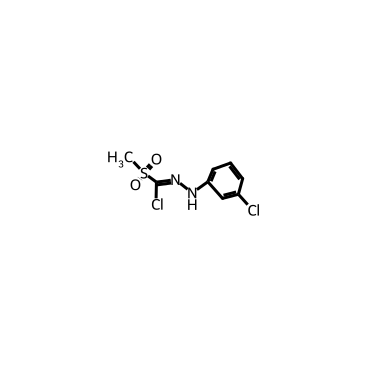 CS(=O)(=O)C(Cl)=NNc1cccc(Cl)c1